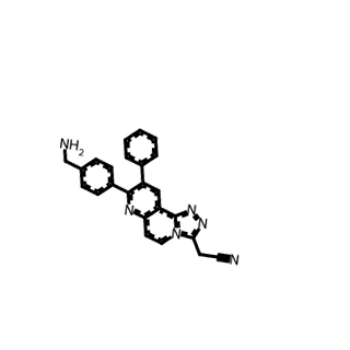 N#CCc1nnc2c3cc(-c4ccccc4)c(-c4ccc(CN)cc4)nc3ccn12